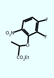 CCOC(=O)C(C)Oc1c([N+](=O)[O-])ccc(F)c1F